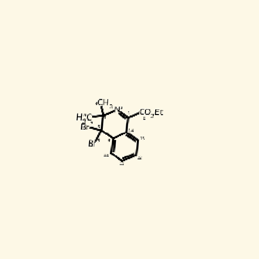 CCOC(=O)C1=NC(C)(C)C(Br)(Br)c2ccccc21